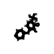 Cn1c(Cc2ccccc2)ccc(C(C)(C)C)c1=O